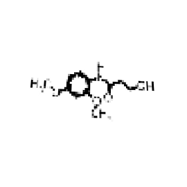 COc1ccc(NC(=O)CCO)c(OC)c1